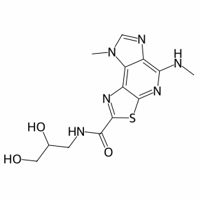 CNc1nc2sc(C(=O)NCC(O)CO)nc2c2c1ncn2C